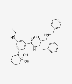 CCNc1cc(C(=O)N[C@@H](Cc2ccccc2)[C@@H](O)CNCc2ccccc2)cc(N2CCCCS2(O)O)c1